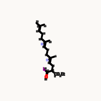 CCOC(=O)C(C/C=C(\C)CC/C=C(\C)CCC=C(C)C)C(=O)I